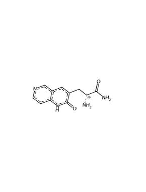 NC(=O)[C@H](N)Cc1cc2cnccc2[nH]c1=O